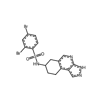 O=S(=O)(NC1CCc2c(cnc3[nH]ncc23)C1)c1ccc(Br)cc1Br